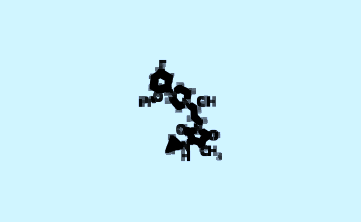 CC(C)Oc1ccc(F)cc1N1CCN(CCCN2C(=O)C(C)C(NC3CC3)C2=O)CC1.Cl